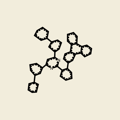 c1ccc(-c2cccc(-c3cc(-c4cccc(-c5ccccc5)c4)nc(-c4ccccc4-c4ccc5c6ccccc6c6ccccc6c5c4)n3)c2)cc1